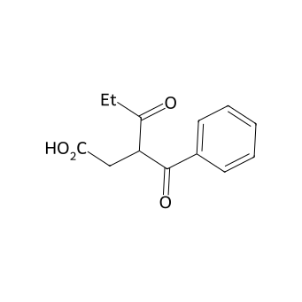 CCC(=O)C(CC(=O)O)C(=O)c1ccccc1